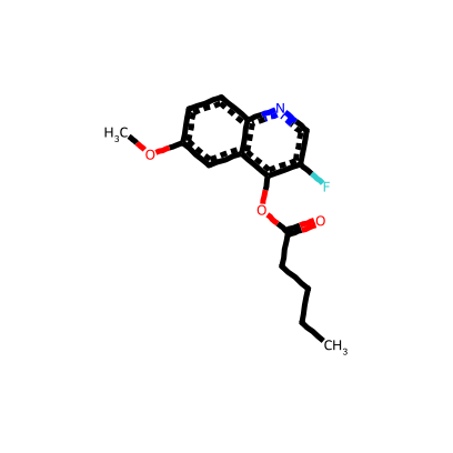 CCCCC(=O)Oc1c(F)cnc2ccc(OC)cc12